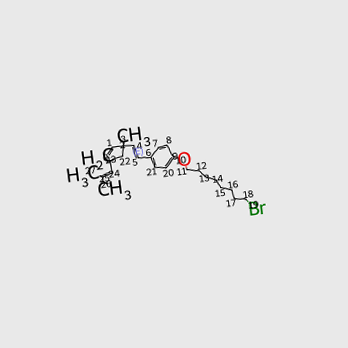 C=CC(C)(/C=C/c1ccc(OCCCCCCCCBr)cc1)CCC=C(C)C